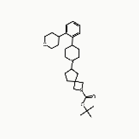 CC(C)(C)OC(=O)N1CC2(CCC(N3CCC(c4ccccc4C4CCOCC4)CC3)C2)C1